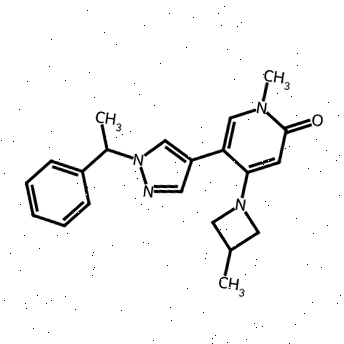 CC1CN(c2cc(=O)n(C)cc2-c2cnn(C(C)c3ccccc3)c2)C1